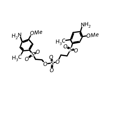 COc1cc(S(=O)(=O)CCOS(=O)(=O)OCCS(=O)(=O)c2cc(OC)c(N)cc2C)c(C)cc1N